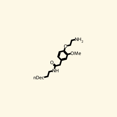 CCCCCCCCCCCCNC(=O)Cc1ccc(OCCN)c(OC)c1